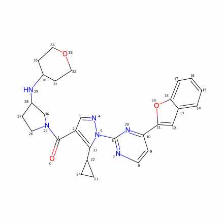 O=C(c1cnn(-c2nccc(-c3cc4ccccc4o3)n2)c1C1CC1)N1CCC(NC2CCOCC2)C1